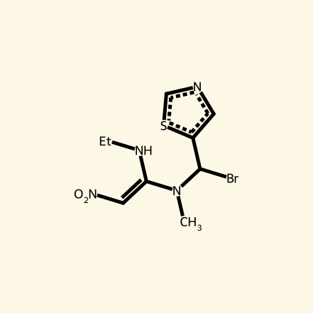 CCNC(=C[N+](=O)[O-])N(C)C(Br)c1cncs1